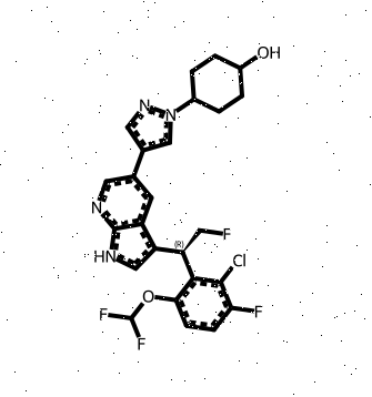 OC1CCC(n2cc(-c3cnc4[nH]cc([C@@H](CF)c5c(OC(F)F)ccc(F)c5Cl)c4c3)cn2)CC1